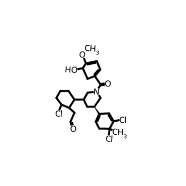 COC1=CC=C(C(=O)N2CC(C3CCCC(Cl)C3CC=O)C[C@H](C3=CCC(C)(Cl)C(Cl)=C3)C2)CC1O